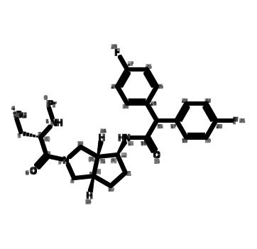 CC(C)N[C@@H](CC(C)(C)C)C(=O)N1C[C@H]2CC[C@H](NC(=O)C(c3ccc(F)cc3)c3ccc(F)cc3)[C@H]2C1